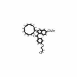 COc1ccc2c(C(=O)c3ccc(OCCCl)cc3)c(C3=CC=CC=CC=CC=CC=C3)sc2c1